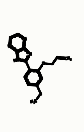 C=CCOc1cc(SC)ccc1-c1nc2nccnc2[nH]1